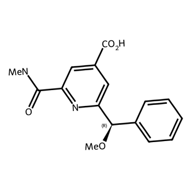 CNC(=O)c1cc(C(=O)O)cc([C@H](OC)c2ccccc2)n1